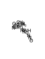 CC1(C)CN(C(=O)c2ccn[nH]2)C[C@@H](F)[C@H]1Oc1ccc(-c2ncnc(Nc3ccc(N4CCN(C5COC5)CC4)cc3)n2)cc1C#N